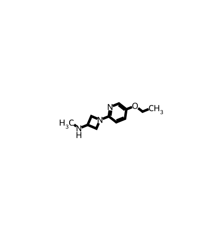 CCOc1ccc(N2CC(NC)C2)nc1